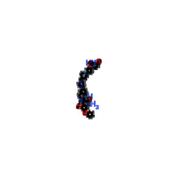 COc1cc(Oc2ccccc2)ccc1-c1nn2c(c1C(N)=O)Nc1ccc(N3CCN(CC4CCN(c5ccc(N6CCC(=O)NC6=O)cc5)CC4)CC3)cc1CC2